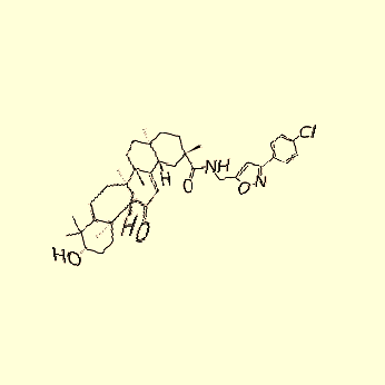 CC1(C)C2CC[C@]3(C)[C@H](C(=O)C=C4[C@H]5C[C@@](C)(C(=O)NCc6cc(-c7ccc(Cl)cc7)no6)CC[C@]5(C)CC[C@]43C)[C@@]2(C)CC[C@@H]1O